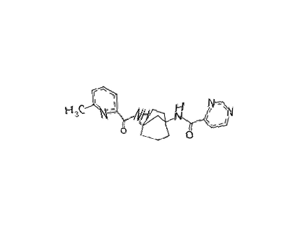 Cc1cccc(C(=O)NC23CCCC(NC(=O)c4ccncn4)(CC2)C3)n1